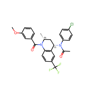 COc1cccc(C(=O)N2c3ccc(C(F)(F)F)cc3[C@@H](N(C(C)=O)c3ccc(Cl)cc3)C[C@H]2C)c1